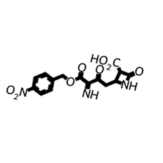 N=C(C(=O)CC1NC(=O)C1C(=O)O)C(=O)OCc1ccc([N+](=O)[O-])cc1